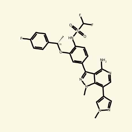 C[C@H](Oc1cc(-c2nn(C)c3c(-c4cnn(C)c4)cnc(N)c23)ccc1NS(=O)(=O)C(F)F)c1ccc(F)cc1